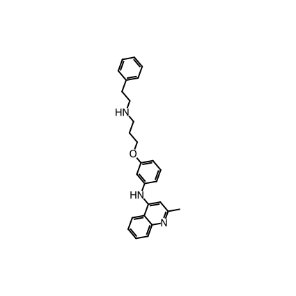 Cc1cc(Nc2cccc(OCCCNCCc3ccccc3)c2)c2ccccc2n1